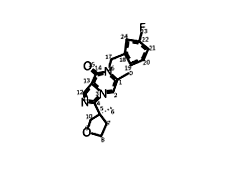 Cc1cn2c([C@@]3(C)CCOC3)ncc2c(=O)n1Cc1cccc(F)c1